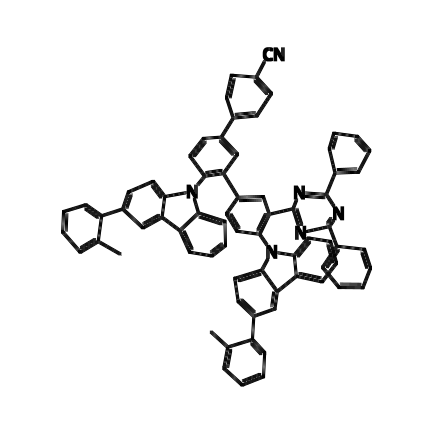 Cc1ccccc1-c1ccc2c(c1)c1ccccc1n2-c1ccc(-c2ccc(C#N)cc2)cc1-c1ccc(-n2c3ccccc3c3cc(-c4ccccc4C)ccc32)c(-c2nc(-c3ccccc3)nc(-c3ccccc3)n2)c1